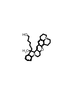 CC1(CCCCCO)c2ccccc2N2CCC3Oc4c(cc5c6c4CCCN6CCC5)C=C3C21